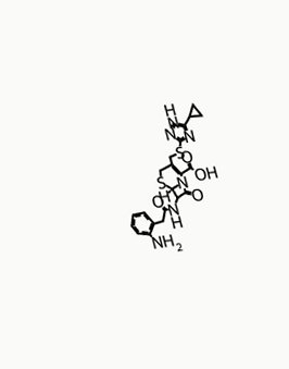 Nc1ccccc1CC(=O)NC1C(=O)N2C(C(=O)O)=C(CSc3n[nH]c(C4CC4)n3)CS[C@@H]12